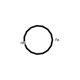 C1CCCCCCCNCCCCCC1.[Fe]